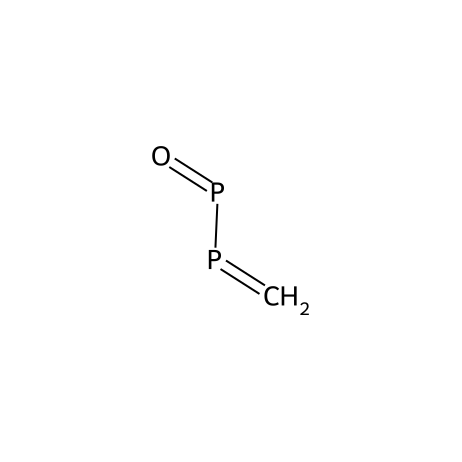 C=PP=O